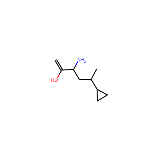 C=C(O)C(N)CC(C)C1CC1